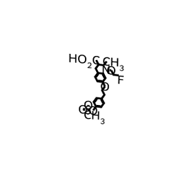 CC(=NOCCF)C(Cc1ccc(OCCc2ccc(OS(C)(=O)=O)cc2)cc1)C(=O)O